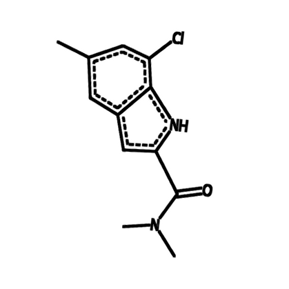 Cc1cc(Cl)c2[nH]c(C(=O)N(C)C)cc2c1